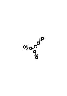 C1=C(c2ccc(-c3cc4ccccc4s3)cc2)CCC(N(c2ccc(-c3nc4ccccc4o3)cc2)c2ccc(-c3nc4ccccc4o3)cc2)=C1